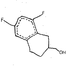 OC1CCc2cc(F)cc(F)c2C1